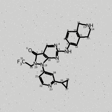 O=c1c2cnc(Nc3ccc4c(c3)CCNC4)nc2n(-c2ccnc(C3CC3)c2)n1CC(F)(F)F